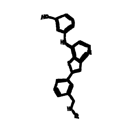 CCNCc1cccc(-c2cc3nccc(Nc4cccc(O)c4)c3s2)c1